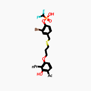 CCCc1c(OCCCSCc2ccc(OP(=O)(O)C(F)F)c(Br)c2)ccc(C(C)=O)c1O